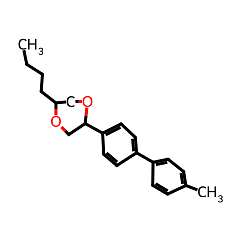 CCCCC1COC(c2ccc(-c3ccc(C)cc3)cc2)CO1